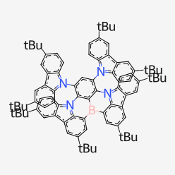 CC(C)(C)c1ccc2c(c1)c1cc(C(C)(C)C)ccc1n2-c1cc(-n2c3ccc(C(C)(C)C)cc3c3cc(C(C)(C)C)ccc32)c2c3c1-n1c4ccc(C(C)(C)C)cc4c4cc(C(C)(C)C)cc(c41)B3c1cc(C(C)(C)C)cc3c4cc(C(C)(C)C)ccc4n-2c13